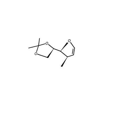 C[C@@H]1C=CO[C@@H]1[C@H]1COC(C)(C)O1